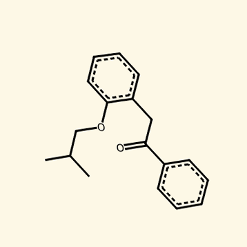 CC(C)COc1ccccc1CC(=O)c1ccccc1